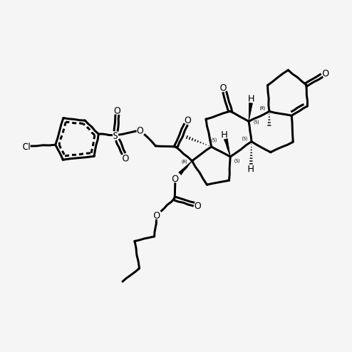 CCCCOC(=O)O[C@]1(C(=O)COS(=O)(=O)c2ccc(Cl)cc2)CC[C@H]2[C@@H]3CCC4=CC(=O)CC[C@]4(C)[C@H]3C(=O)C[C@@]21C